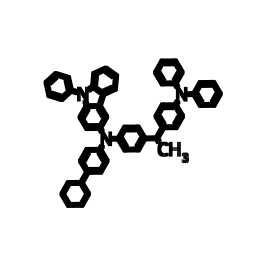 CC(c1ccc(N(c2ccccc2)c2ccccc2)cc1)c1ccc(N(c2ccc(C3CCCCC3)cc2)c2ccc3c(c2)c2ccccc2n3-c2ccccc2)cc1